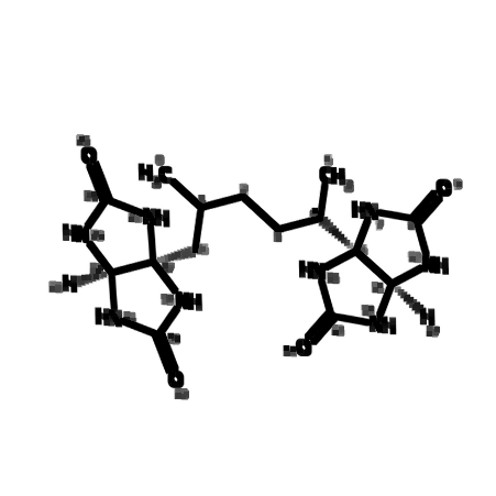 CC(CCC(C)[C@]12NC(=O)N[C@H]1NC(=O)N2)C[C@]12NC(=O)N[C@H]1NC(=O)N2